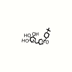 CC(C)(C)[C@H]1CC[C@@H](C(=O)N2CCC(CN3C[C@@H](O)[C@H](O)[C@@H](O)C3)CC2)CC1